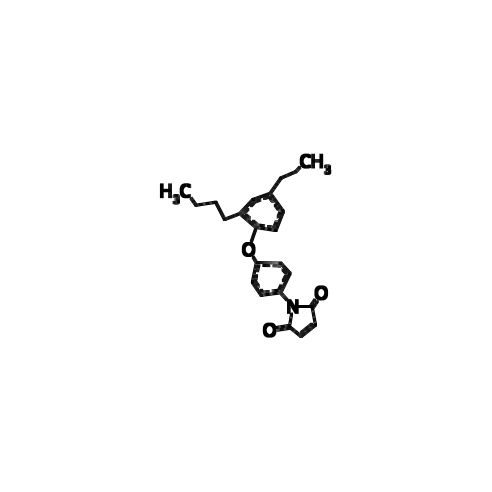 CCCCc1cc(CCC)ccc1Oc1ccc(N2C(=O)C=CC2=O)cc1